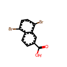 O=C(O)c1ccc2c(Br)ccc(Br)c2c1